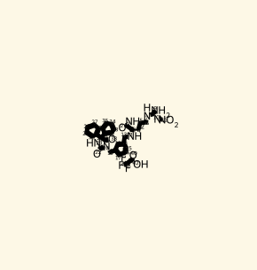 NC(=O)[C@@H](CCCNC(N)=N[N+](=O)[O-])NCc1cccc(CN2C(=O)NC(c3ccccc3)(c3ccccc3)C2=O)c1.O=C(O)C(F)(F)F